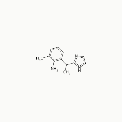 Cc1cccc(C(C)c2ncc[nH]2)c1N